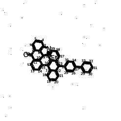 CCC1=Nc2cccc3c2C1c1c(cccc1-c1c2ccccc2c(-c2ccc(-c4ccccc4)cc2)c2ccccc12)C3=O